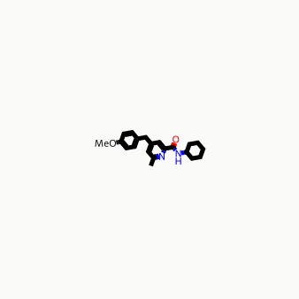 COc1ccc(Cc2cc(C)nc(C(=O)NC3CCCCC3)c2)cc1